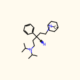 CC(C)N(CCC(C#N)(CCN1CC2CCC1CC2)c1ccccc1)C(C)C